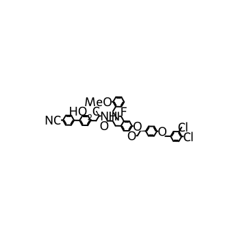 COc1cccc(F)c1CN1Cc2cc3c(cc2CC1C(=O)N[C@@H](Cc1ccc(-c2ccc(C#N)cc2)cc1)C(=O)O)OC[C@H](c1ccc(OCc2ccc(Cl)c(Cl)c2)cc1)O3